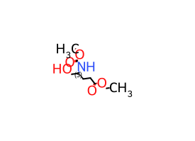 CCOC(=O)CC[C@@H](CO)NC(=O)OC